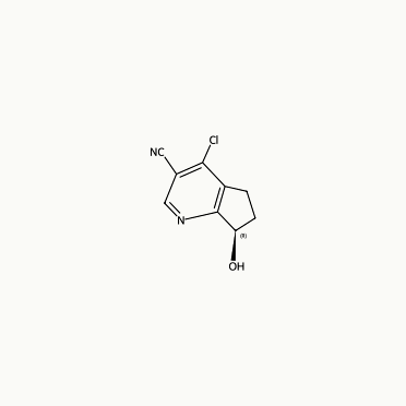 N#Cc1cnc2c(c1Cl)CC[C@H]2O